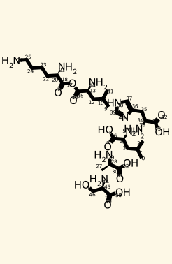 CC(C)C[C@H](N)C(=O)O.CC(C)C[C@H](N)C(=O)OC(=O)[C@@H](N)CCCCN.C[C@@H](N)C(=O)O.N[C@@H](Cc1c[nH]cn1)C(=O)O.N[C@H](CO)C(=O)O